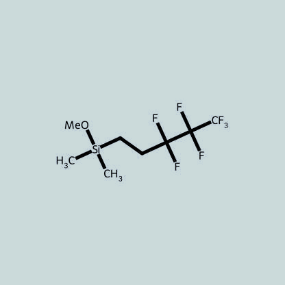 CO[Si](C)(C)CCC(F)(F)C(F)(F)C(F)(F)F